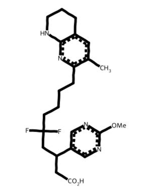 COc1ncc(C(CC(=O)O)CC(F)(F)CCCCc2nc3c(cc2C)CCCN3)cn1